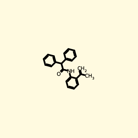 C=C(C)c1ccccc1NC(=O)C(c1ccccc1)c1ccccc1